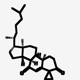 CC(C)CCC[C@@H](C)[C@H]1CC[C@H]2[C@@H]3C(=O)C=C4C5(CC5)C(=O)CC[C@]4(C)[C@H]3CC[C@]12C